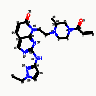 C=CC(=O)N1CCN(CCn2c(=O)ccc3cnc(Nc4ccn(CC)n4)nc32)[C@@H](C)C1